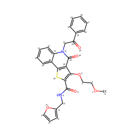 CCOCCOc1c(C(=O)NCc2ccco2)sc2c1c(=O)n(CC(=O)c1ccccc1)c1ccccc21